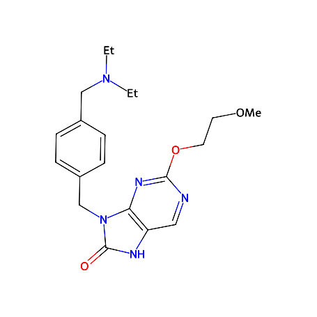 CCN(CC)Cc1ccc(Cn2c(=O)[nH]c3cnc(OCCOC)nc32)cc1